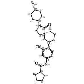 O=C(Nc1ccc(N2CCC[C@@]3(CCN([C@H]4CC[C@H](O)CC4)C3=O)C2)c(Cl)c1)C1CCCC1